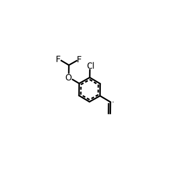 C=[C]c1ccc(OC(F)F)c(Cl)c1